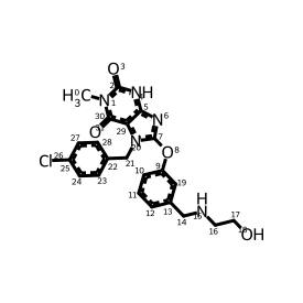 Cn1c(=O)[nH]c2nc(Oc3cccc(CNCCO)c3)n(Cc3ccc(Cl)cc3)c2c1=O